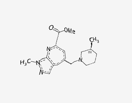 COC(=O)c1cc(CN2CCC[C@H](C)C2)c2cnn(C)c2n1